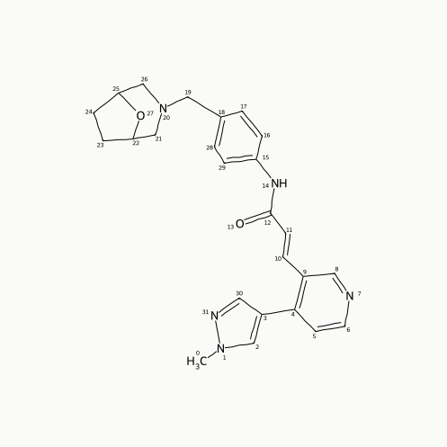 Cn1cc(-c2ccncc2C=CC(=O)Nc2ccc(CN3CC4CCC(C3)O4)cc2)cn1